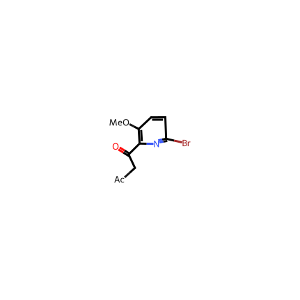 COc1ccc(Br)nc1C(=O)CC(C)=O